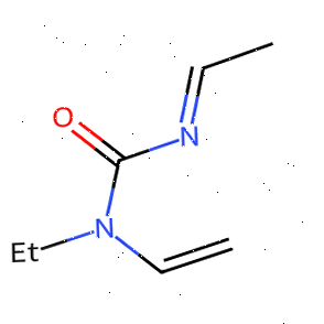 C=CN(CC)C(=O)N=CC